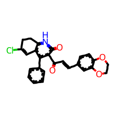 O=C(C=Cc1ccc2c(c1)OCCO2)c1c(-c2ccccc2)c2c([nH]c1=O)CCC(Cl)=C2